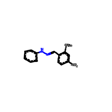 COc1cc([N+](=O)[O-])ccc1C=NNc1ccccc1